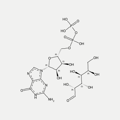 Nc1nc2c(ncn2[C@@H]2O[C@H](COP(=O)(O)OP(=O)(O)O)[C@@H](O)[C@H]2O)c(=O)[nH]1.O=C[C@H](O)[C@@H](O)[C@@H](O)[C@H](O)CO